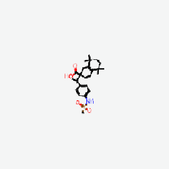 CC(c1ccc(NS(C)(=O)=O)cc1)C1(C(=O)O)C=CC2=C(C1)C(C)(C)CCC2(C)C